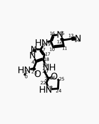 CNC(=O)c1nnc(Nc2ccc(C#N)nc2)cc1NCC1CNCCO1